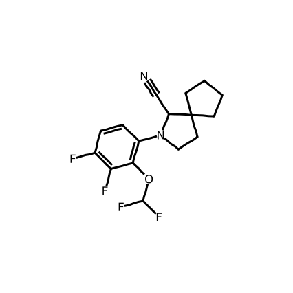 N#CC1N(c2ccc(F)c(F)c2OC(F)F)CCC12CCCC2